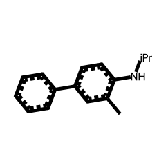 Cc1cc(-c2ccccc2)ccc1NC(C)C